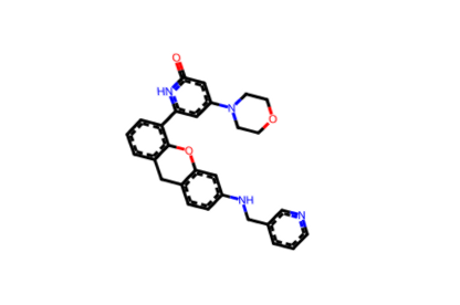 O=c1cc(N2CCOCC2)cc(-c2cccc3c2Oc2cc(NCc4cccnc4)ccc2C3)[nH]1